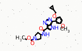 CCOC(=O)N1CCC(NC(=O)c2c[nH]c3c(-c4cc(OC)ccc4OCC4CC4)ncnc23)CC1